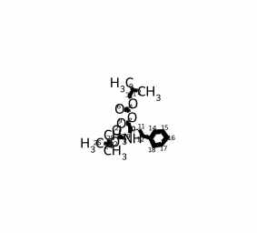 CC(C)COC(=O)OC(=O)[C@H](CCc1ccccc1)NC(=O)OC(C)(C)C